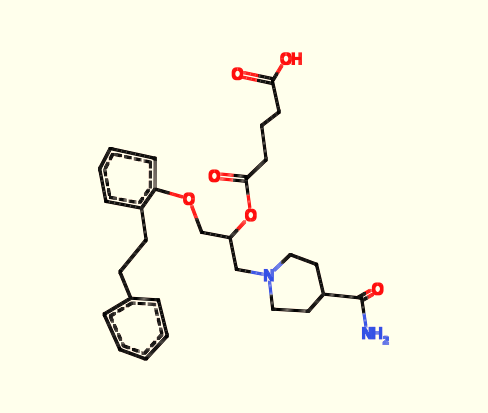 NC(=O)C1CCN(CC(COc2ccccc2CCc2ccccc2)OC(=O)CCCC(=O)O)CC1